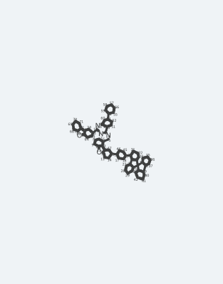 N/C(=N\C(=N/Cc1cccc2oc3ccc(-c4ccc(-c5cccc6c5-c5ccccc5C65c6ccccc6-c6ccccc65)cc4)cc3c12)c1ccc(-c2ccccc2)cc1)c1ccc2oc3ccccc3c2c1